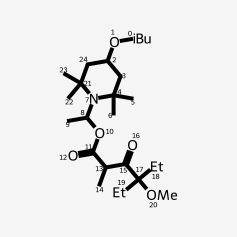 CCC(C)OC1CC(C)(C)N(C(C)OC(=O)C(C)C(=O)C(CC)(CC)OC)C(C)(C)C1